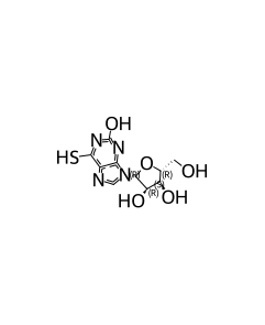 OC[C@H]1O[C@@H](n2cnc3c(S)nc(O)nc32)[C@H](O)[C@@H]1O